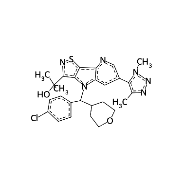 Cc1nnn(C)c1-c1cnc2c3snc(C(C)(C)O)c3n(C(c3ccc(Cl)cc3)C3CCOCC3)c2c1